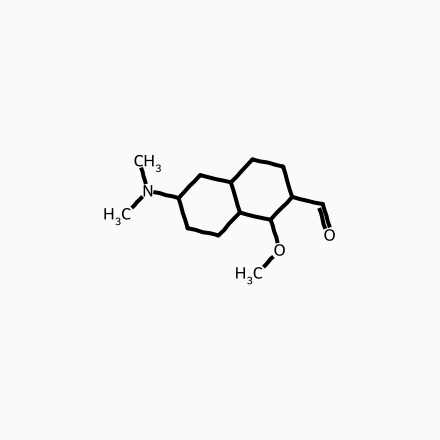 COC1C(C=O)CCC2CC(N(C)C)CCC21